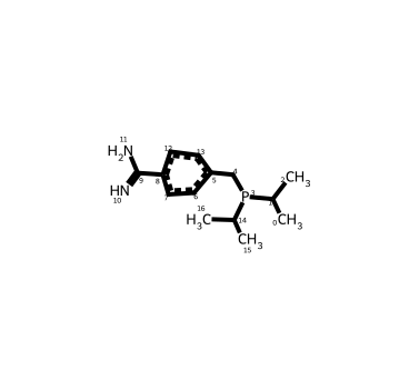 CC(C)P(Cc1ccc(C(=N)N)cc1)C(C)C